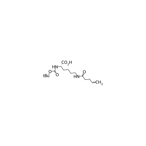 C=CCCC(=O)NCCCC[C@H](NC(=O)OC(C)(C)C)C(=O)O